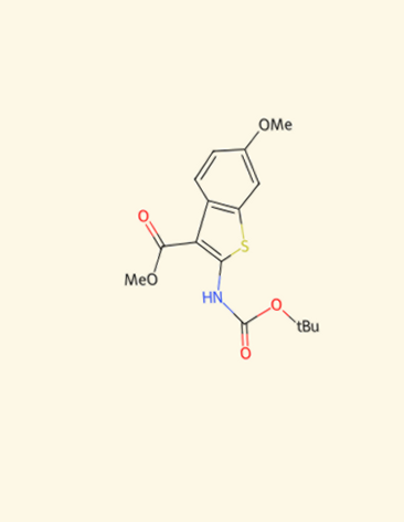 COC(=O)c1c(NC(=O)OC(C)(C)C)sc2cc(OC)ccc12